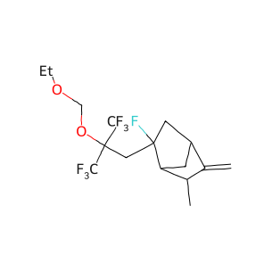 C=C1C2CC(C1C)C(F)(CC(OCOCC)(C(F)(F)F)C(F)(F)F)C2